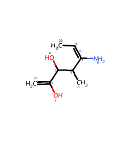 C=C(O)C(O)C(C)/C(N)=C\C